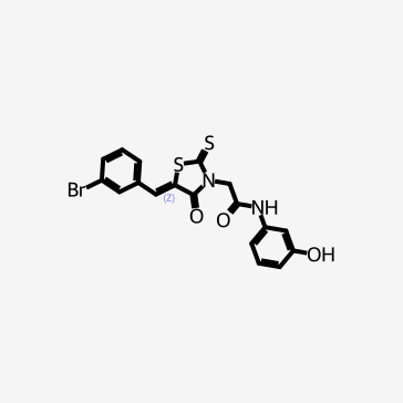 O=C(CN1C(=O)/C(=C/c2cccc(Br)c2)SC1=S)Nc1cccc(O)c1